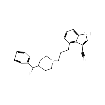 N#Cc1c[nH]c2cccc(CCCN3CCC(C(F)c4ccccc4)CC3)c12